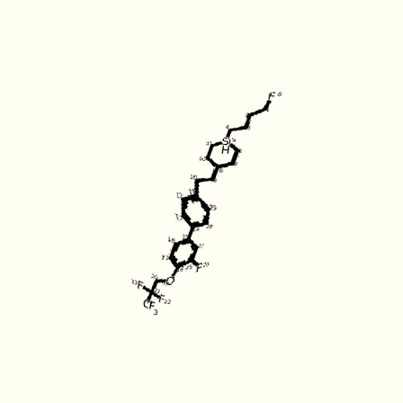 FCCCC[SiH]1CCC(CCc2ccc(-c3ccc(OCC(F)(F)C(F)(F)F)c(F)c3)cc2)CC1